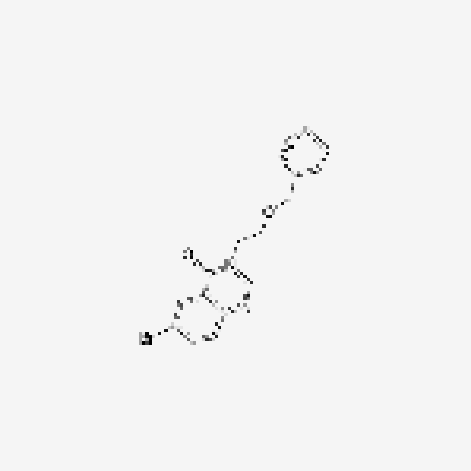 O=c1c2cc(Br)ccc2ncn1CCOCc1ccccc1